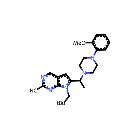 COc1ccccc1N1CCN(C(C)c2cc3cnc(C#N)nc3n2CC(C)(C)C)CC1